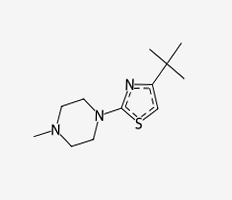 CN1CCN(c2nc(C(C)(C)C)cs2)CC1